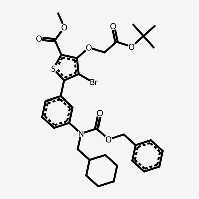 COC(=O)c1sc(-c2cccc(N(CC3CCCCC3)C(=O)OCc3ccccc3)c2)c(Br)c1OCC(=O)OC(C)(C)C